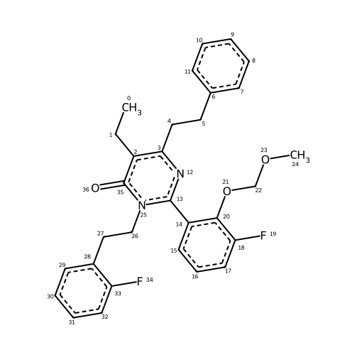 CCc1c(CCc2ccccc2)nc(-c2cccc(F)c2OCOC)n(CCc2ccccc2F)c1=O